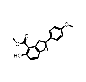 COC(=O)c1c(O)ccc2c1CC(c1ccc(OC)cc1)O2